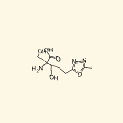 Cc1nnc(CCC(O)C(N)(CO)C(=O)O)o1